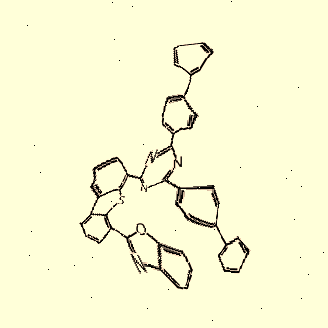 c1ccc(-c2ccc(-c3nc(-c4ccc(-c5ccccc5)cc4)nc(-c4cccc5c4sc4c(-c6nc7ccccc7o6)cccc45)n3)cc2)cc1